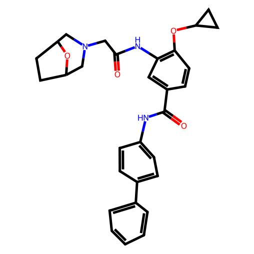 O=C(CN1CC2CCC(C1)O2)Nc1cc(C(=O)Nc2ccc(-c3ccccc3)cc2)ccc1OC1CC1